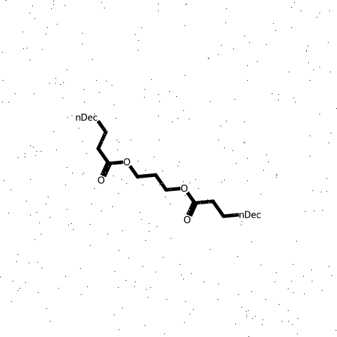 CCCCCCCCCCCCC(=O)OCCCOC(=O)CCCCCCCCCCCC